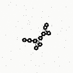 c1ccc(-c2ccc(-c3ccc(N(c4ccc(-c5ccc6c(c5)c5ccccc5n6-c5ccc6ccccc6c5)cc4)c4cccc5c4oc4ccccc45)cc3)cc2)cc1